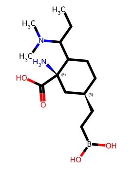 CCC(C1CC[C@@H](CCB(O)O)C[C@]1(N)C(=O)O)N(C)C